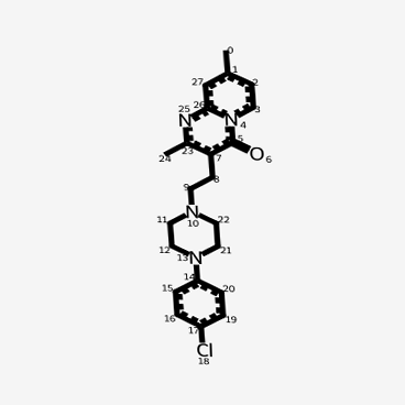 Cc1ccn2c(=O)c(CCN3CCN(c4ccc(Cl)cc4)CC3)c(C)nc2c1